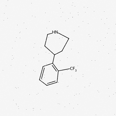 FC(F)(F)c1[c]cccc1C1CCNCC1